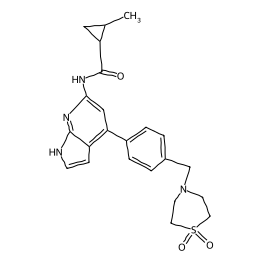 CC1CC1C(=O)Nc1cc(-c2ccc(CN3CCS(=O)(=O)CC3)cc2)c2cc[nH]c2n1